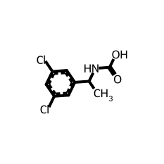 CC(NC(=O)O)c1cc(Cl)cc(Cl)c1